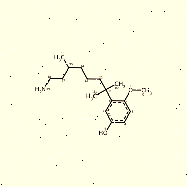 COc1ccc(O)cc1C(C)(C)CCCC(C)CCN